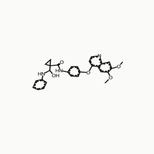 COc1cc2nccc(Oc3ccc(NC(=O)C4(C(O)Nc5ccccc5)CC4)cc3)c2cc1OC